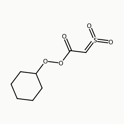 O=C(C=S(=O)=O)OOC1CCCCC1